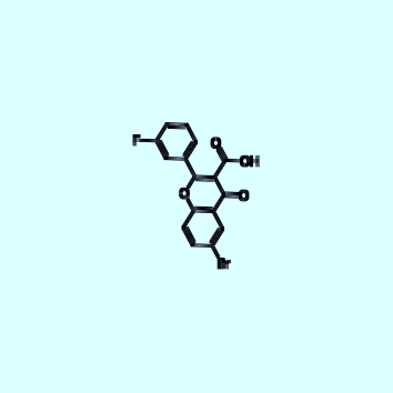 O=C(O)c1c(-c2cccc(F)c2)oc2ccc(Br)cc2c1=O